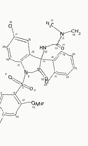 COc1ccc(S(=O)(=O)N2C(=O)C(NC(=O)N(C)C)(c3ccccc3Cl)c3cc(Cl)ccc32)c(OC)c1